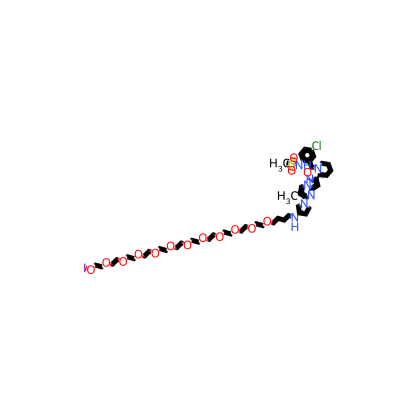 Cc1cn2nc([C@@H]3CCCCN3C(=O)c3cc(Cl)ccc3NS(C)(=O)=O)cc2nc1N1CC[C@H](NCCCCOCCOCCOCCOCCOCCOCCOCCOCCOCCOCCOCCOI)C1